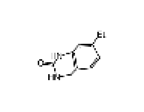 CCc1ccc2c(c1)NC(=O)NC2